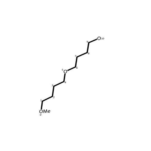 COCCCCOCCCC[O]